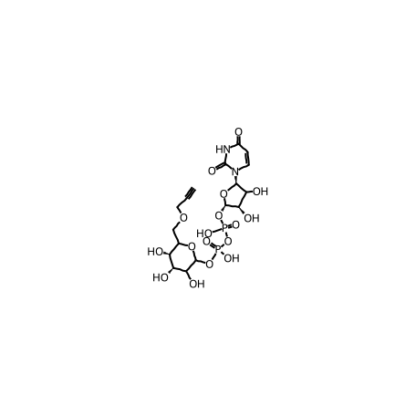 C#CCOCC1OC(OP(=O)(O)OP(=O)(O)O[C@H]2O[C@@H](n3ccc(=O)[nH]c3=O)C(O)[C@H]2O)C(O)[C@@H](O)[C@H]1O